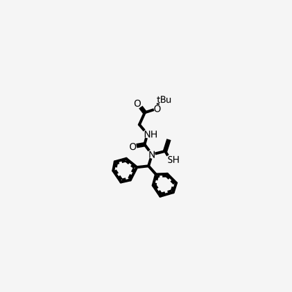 C=C(S)N(C(=O)NCC(=O)OC(C)(C)C)C(c1ccccc1)c1ccccc1